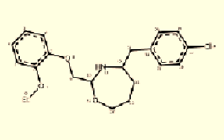 CCOc1ccccc1OCC1NC(Cc2ccc(Cl)cc2)CCCO1